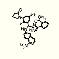 CCc1cc(C(Nc2ccc3c(N)nccc3c2)c2nc(-c3ccccc3C(N)=O)c[nH]2)c(F)c(N2CCCC2=O)c1